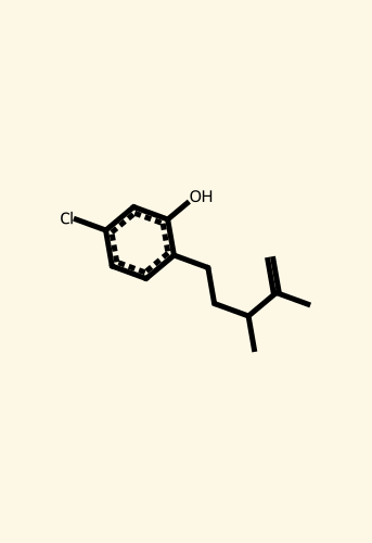 C=C(C)C(C)CCc1ccc(Cl)cc1O